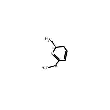 CNC1=N[C@@H](C)CC=C1